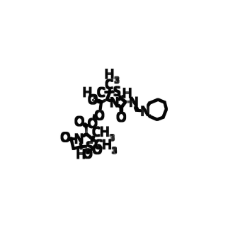 CC1(C)S[C@@H]2[C@H](N=CN3CCCCCCC3)C(=O)N2[C@H]1C(=O)OCOC(=O)[C@@H]1N2C(=O)C[C@H]2S(=O)(=O)C1(C)C